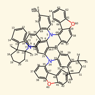 CC(C)(C)c1ccc(N2c3cc(N4c5ccccc5C5(C)CCCCC45C)cc4c3B(c3cc5c(cc3N4c3cccc4oc6ccccc6c34)C(C)(C)CCC5(C)C)c3ccc4oc5ccccc5c4c32)c(-c2ccccc2)c1